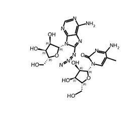 Cc1cn([C@@H]2O[C@H](CO)[C@@H](O)[C@H]2O)c(=O)nc1N.[N-]=[N+]=Nc1nc2c(N)ncnc2n1[C@@H]1O[C@H](CO)[C@@H](O)[C@H]1O